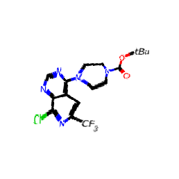 CC(C)(C)OC(=O)N1CCN(c2ncnc3c(Cl)nc(C(F)(F)F)cc23)CC1